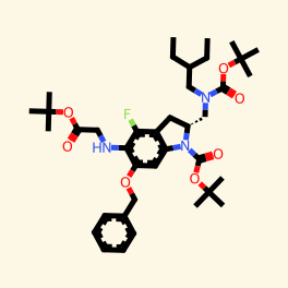 CCC(CC)CN(C[C@H]1Cc2c(cc(OCc3ccccc3)c(NCC(=O)OC(C)(C)C)c2F)N1C(=O)OC(C)(C)C)C(=O)OC(C)(C)C